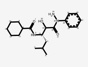 CC(C)C[C@H](NC(=O)C1CCCCC1)C(O)C(=O)N(N)c1ccccc1